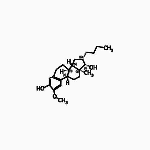 CCCC[C@H]1C[C@H]2[C@@H]3CCc4cc(O)c(OC)cc4[C@H]3CC[C@]2(C)[C@H]1O